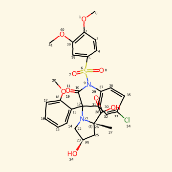 COc1ccc(S(=O)(=O)N2C(=O)C(c3ccccc3OC)(N3C[C@H](O)C[C@@]3(C)C(=O)O)c3cc(Cl)ccc32)cc1OC